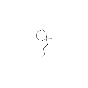 CCCCC1(C)CCOCC1